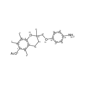 CC(=O)Oc1c(C)c(C)c2c(c1C)CCC(C)(COc1ccc(N)cc1)O2